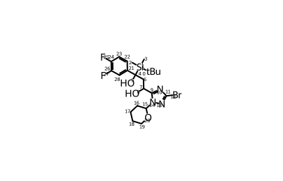 CC(C)(C)[Si](C)(C)C(O)(CC(O)c1nc(Br)nn1C1CCCCO1)c1ccc(F)c(F)c1